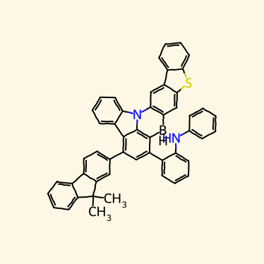 CC1(C)c2ccccc2-c2ccc(-c3cc(-c4ccccc4Nc4ccccc4)c4c5c3c3ccccc3n5-c3cc5c(cc3B4)sc3ccccc35)cc21